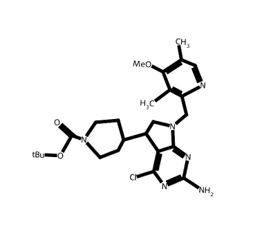 COc1c(C)cnc(CN2CC(C3CCN(C(=O)OC(C)(C)C)CC3)c3c(Cl)nc(N)nc32)c1C